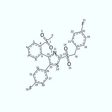 CS(=O)(=O)c1ccccc1-c1nc(S(=O)(=O)Cc2ccc(F)cc2)sc1-c1ccc(F)cc1